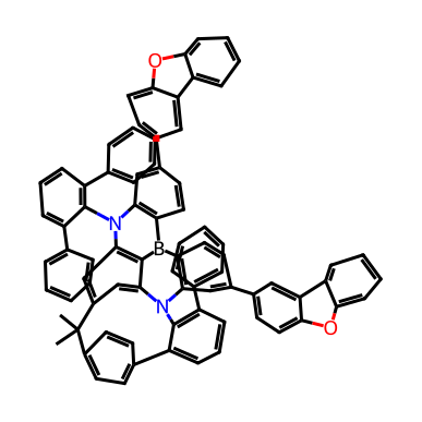 CC1(C)c2ccc(cc2)-c2cccc(-c3ccccc3)c2N2c3cc(-c4ccc5oc6ccccc6c5c4)ccc3B3c4ccc(-c5ccc6oc7ccccc7c6c5)cc4N(c4c(-c5ccccc5)cccc4-c4ccccc4)c4cc1cc2c43